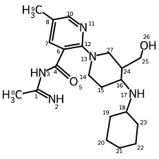 CC(=N)NC(=O)c1cc(C)cnc1N1CCC(NC2CCCCC2)C(CO)C1